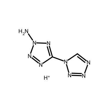 Nn1nnc(-n2cnnn2)n1.[H+]